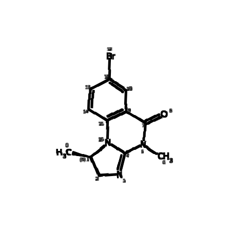 C[C@@H]1CN=C2N(C)C(=O)c3cc(Br)ccc3N21